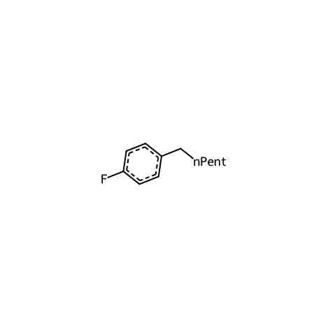 CCCCCCc1ccc(F)cc1